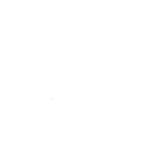 O=C(c1ccc2ccncc2c1)c1sc2cc(F)ccc2c1Cl